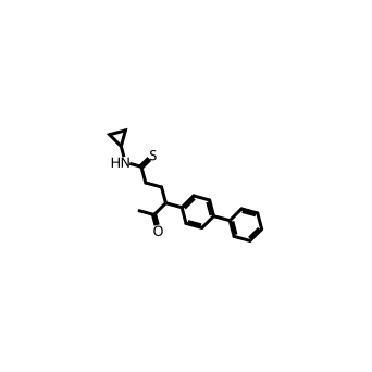 CC(=O)C(CCC(=S)NC1CC1)c1ccc(-c2ccccc2)cc1